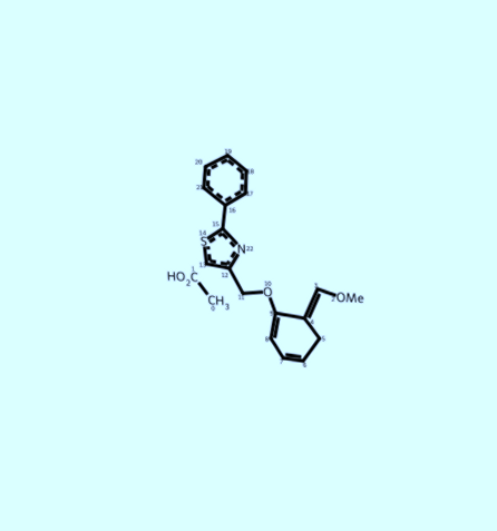 CC(=O)O.COC=C1CC=CC=C1OCc1csc(-c2ccccc2)n1